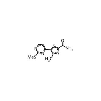 CSc1nccc(-c2sc(C(N)=O)nc2C)n1